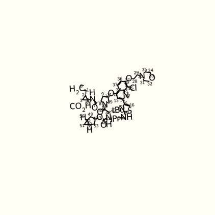 C=C[C@@H]1C[C@]1(NC(=O)[C@@H]1C[C@@H](Oc2cc(-c3csc(NC(C)C)n3)nc3c(Cl)c(OCCN4CCOCC4)ccc23)CN1C(=O)[C@@H](NC(=O)O[C@@H]1C[C@@H]2C[C@@H]2C1)C(C)(C)C)C(=O)O